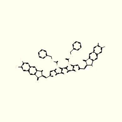 O=C1C(=Cc2cc3c(s2)c2sc4c5sc(/C=C6\C(=O)c7cc8cc(F)c(F)cc8cc7C6O)cc5n(C(=O)OCc5ccccc5)c4c2n3C(=O)OCc2ccccc2)C(=O)c2cc3cc(F)c(F)cc3cc21